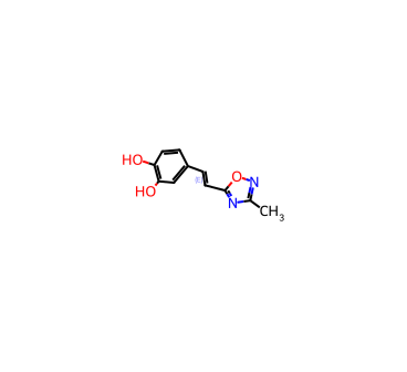 Cc1noc(/C=C/c2ccc(O)c(O)c2)n1